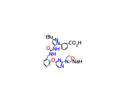 CC(C)(C)c1cc(NC(=O)NCc2ccccc2Oc2ccnc(N3CCOCC3)n2)n(-c2cccc(C(=O)O)c2)n1.[NaH]